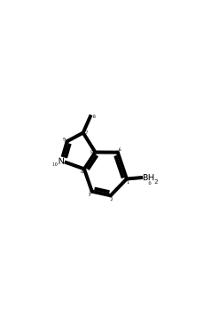 Bc1ccc2c(c1)C(C)C=N2